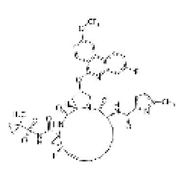 Cn1ccc(C(=O)N[C@H]2CCCCC/C=C\[C@@H]3C[C@@]3(C(=O)NS(=O)(=O)C3(C)CC3)NC(=O)[C@@H]3C[C@@H](Oc4nc5cc(F)ccc5c5cc(OC(F)(F)F)ccc45)CN3C2=O)n1